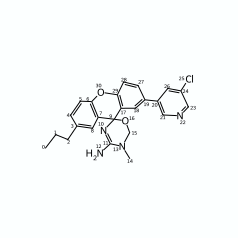 CCCc1ccc2c(c1)C1(N=C(N)N(C)CO1)c1cc(-c3cncc(Cl)c3)ccc1O2